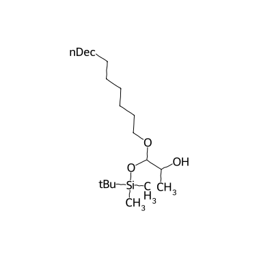 CCCCCCCCCCCCCCCCOC(O[Si](C)(C)C(C)(C)C)C(C)O